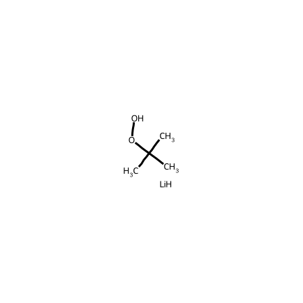 CC(C)(C)OO.[LiH]